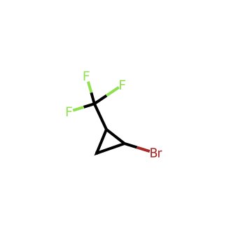 FC(F)(F)C1CC1Br